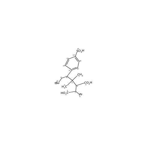 CC(C)C(C(=O)O)C(C(=O)O)C(C)(C)C(CC(C)(C)C)c1ccc(S(=O)(=O)O)cc1